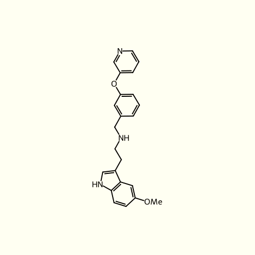 COc1ccc2[nH]cc(CCNCc3cccc(Oc4cccnc4)c3)c2c1